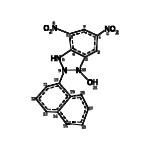 O=[N+]([O-])c1cc2c(c([N+](=O)[O-])c1)NN(c1cccc3ccccc13)N2O